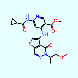 COCC(C)n1ncc2scc(Nc3cc(NC(=O)C4CC4)ncc3C(=O)OC)c2c1=O